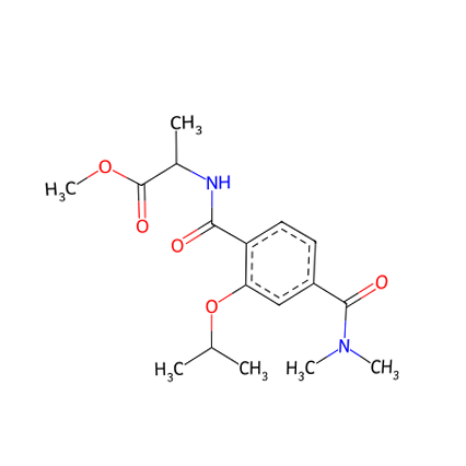 COC(=O)C(C)NC(=O)c1ccc(C(=O)N(C)C)cc1OC(C)C